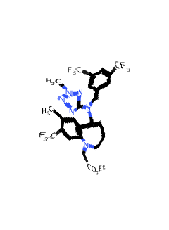 CCOC(=O)CN1CCCC(N(Cc2cc(C(F)(F)F)cc(C(F)(F)F)c2)c2nnn(C)n2)c2cc(C)c(C(F)(F)F)cc21